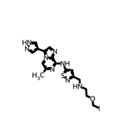 Cc1cn2c(-c3cn[nH]c3)cnc2c(Nc2cc(CNCCOCI)ns2)n1